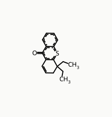 CCC1(CC)CC=Cc2c1sc1ccccc1c2=O